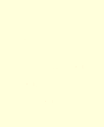 CCC(O)OCC(C)OC(O)CC.COCCO